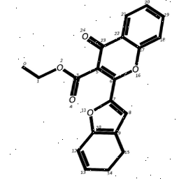 CCOC(=O)c1c(-c2cc3c(o2)C=CCC3)oc2ccccc2c1=O